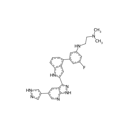 CN(C)CCNc1cc(F)cc(-c2cccc3[nH]c(-c4n[nH]c5ncc(-c6cn[nH]c6)cc45)cc23)c1